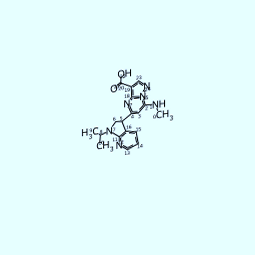 CNc1cc(C2CN(C(C)C)c3ncccc32)nc2c(C(=O)O)cnn12